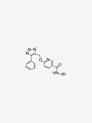 CC(C)NC(=O)c1ccc(OCc2c(-c3ccccc3)nnn2C)nc1